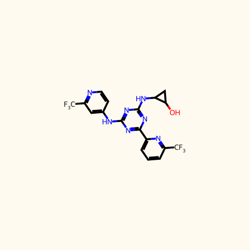 OC1CC1Nc1nc(Nc2ccnc(C(F)(F)F)c2)nc(-c2cccc(C(F)(F)F)n2)n1